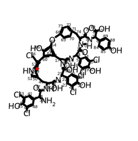 CN1C(=O)C(c2cc(Cl)c(O)c(Cl)c2)N=C(O)C2N=C(O)C(c3cc(Cl)c(O)c(Cl)c3)N=C(O)C(NC(=O)C(N)c3cc(Cl)c(O)c(Cl)c3)Cc3c[nH]c4c(c(Cl)ccc34)-c3cc2cc(c3O)Oc2ccc(cc2)CC1C(=O)NC(C(=O)O)c1ccc(O)cc1